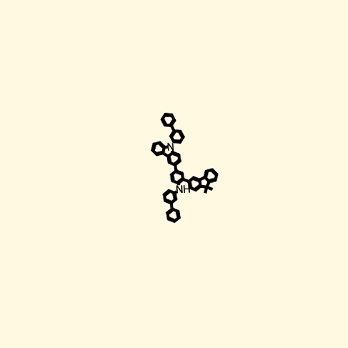 CC1(C)c2ccccc2-c2cc(-c3cc(-c4ccc5c(c4)c4ccccc4n5-c4cccc(-c5ccccc5)c4)ccc3Nc3cccc(-c4ccccc4)c3)ccc21